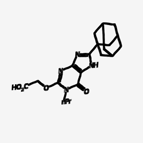 CCCn1c(OCC(=O)O)nc2nc(C34CC5CC(CC(C5)C3)C4)[nH]c2c1=O